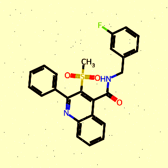 CS(=O)(=O)c1c(-c2ccccc2)nc2ccccc2c1C(=O)NCc1cccc(F)c1